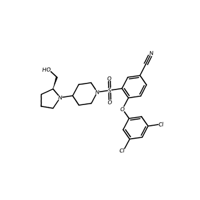 N#Cc1ccc(Oc2cc(Cl)cc(Cl)c2)c(S(=O)(=O)N2CCC(N3CCC[C@H]3CO)CC2)c1